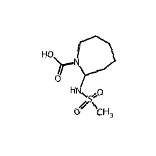 CS(=O)(=O)NC1CCCCCN1C(=O)O